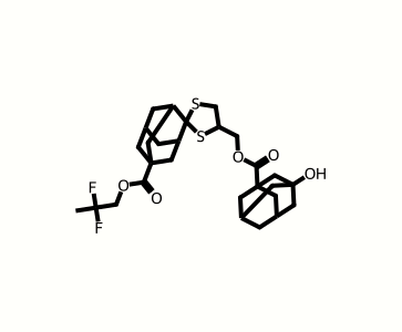 CC(F)(F)COC(=O)C12CC3CC(C1)C1(SCC(COC(=O)C45CC6CC(CC(O)(C6)C4)C5)S1)C(C3)C2